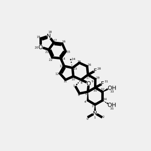 CN(C)[C@H]1C[C@@]23CC[C@]4(O2)C2CC=C(c5ccc6ncoc6c5)[C@@]2(C)CCC4(F)CC3(F)[C@@H](O)[C@@H]1O